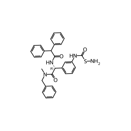 CN(Cc1ccccc1)C(=O)[C@H](NC(=O)C(c1ccccc1)c1ccccc1)c1cccc(NC(=O)SN)c1